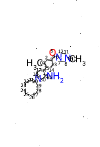 Cc1cc(C(=O)N2CCN(C)CC2)ccc1C1CCN(C2CCCCCCCCC2)CC1N